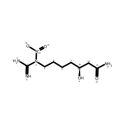 N=C(N)N(CCCC[C@H](O)CC(N)=O)[N+](=O)[O-]